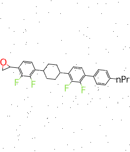 CCCc1ccc(-c2ccc(C3CCC(c4ccc(C5CO5)c(F)c4F)CC3)c(F)c2F)cc1